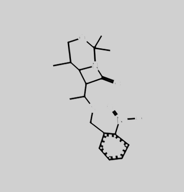 CC1COC(C)(C)N2C(=O)C(C(C)SCc3ccccc3[N+](=O)[O-])C12